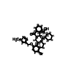 Cn1cc(COc2ccc(Br)c3c2[C@@H](CN2Cc4ccccc4C2=O)N(C(=O)C2CCCC[C@H]2C(=O)O)CC3)nn1